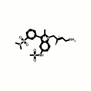 Cc1c(-c2cccc(S(=O)(=O)N(C)C)c2)c2cc(NS(C)(=O)=O)ccc2n1C/C(F)=C/CN